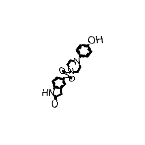 O=C1Cc2cc(S(=O)(=O)N3CCN(c4ccc(O)cc4)CC3)ccc2N1